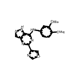 COc1ccc(Nc2nc(-c3cocn3)nc3cn[nH]c23)cc1OC